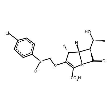 C[C@@H](O)[C@H]1C(=O)N2C(C(=O)O)=C(SC[S+]([O-])c3ccc(Cl)cc3)[C@H](C)[C@H]12